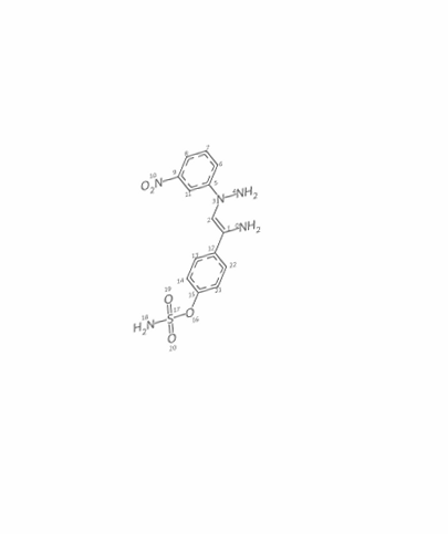 N/C(=C\N(N)c1cccc([N+](=O)[O-])c1)c1ccc(OS(N)(=O)=O)cc1